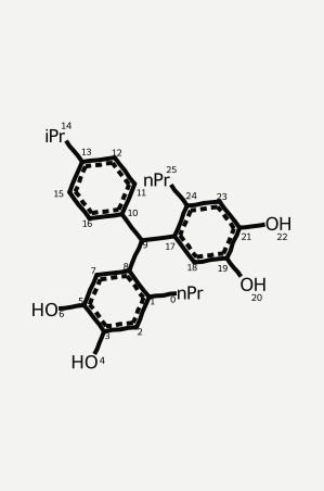 CCCc1cc(O)c(O)cc1C(c1ccc(C(C)C)cc1)c1cc(O)c(O)cc1CCC